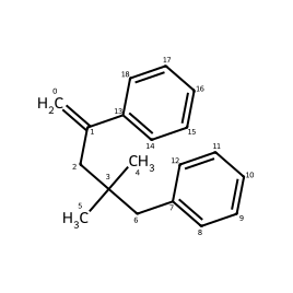 C=C(CC(C)(C)Cc1ccccc1)c1ccccc1